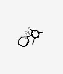 C[C@]1(c2c(F)cc(F)cc2F)C=CCCCC1